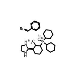 CC1C(=C2NCCN2)CCCC1[PH](C)(C1CCCCC1)C1CCCCC1.[Ru]=[CH]c1ccccc1